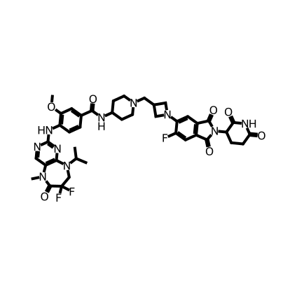 COc1cc(C(=O)NC2CCN(CC3CN(c4cc5c(cc4F)C(=O)N(C4CCC(=O)NC4=O)C5=O)C3)CC2)ccc1Nc1ncc2c(n1)N(C(C)C)CC(F)(F)C(=O)N2C